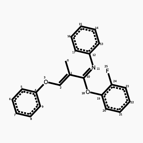 CC(=C\Oc1ccccc1)/C(=N\c1ccccc1)Oc1ccccc1F